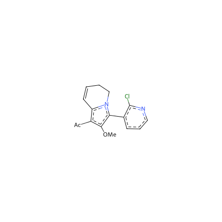 COc1c(C(C)=O)c2n(c1-c1cccnc1Cl)CCC=C2